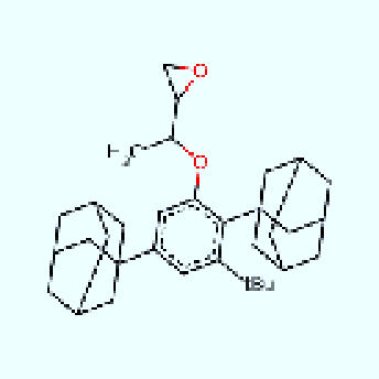 CC(Oc1cc(C23CC4CC(CC(C4)C2)C3)cc(C(C)(C)C)c1C12CC3CC(CC(C3)C1)C2)C1CO1